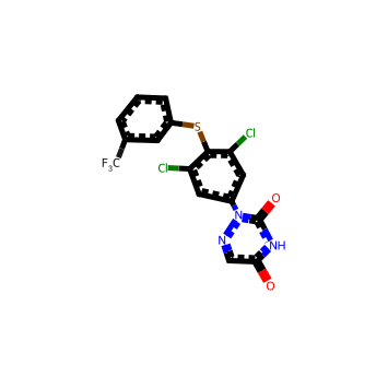 O=c1cnn(-c2cc(Cl)c(Sc3cccc(C(F)(F)F)c3)c(Cl)c2)c(=O)[nH]1